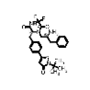 CC(C)(C)n1sc(-c2ccc(C[C@@H](C(N)=O)N(C[C@@H](N)Cc3ccccc3)C(=O)C(F)(F)F)cc2)cc1=O